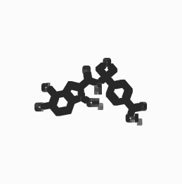 CC(=O)c1ccc(C2(NC(=O)c3cc4c(Cl)c(Cl)ccc4n3C)COC2)cc1